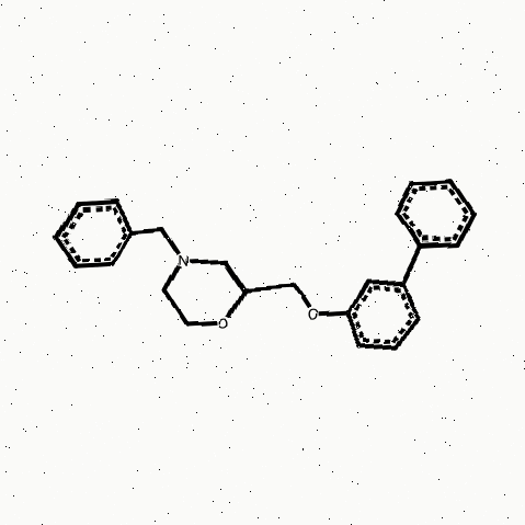 c1ccc(CN2CCOC(COc3cccc(-c4ccccc4)c3)C2)cc1